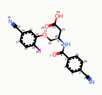 N#Cc1ccc(C(=O)N[C@@H](COc2cc(C#N)ccc2I)CC(=O)O)cc1